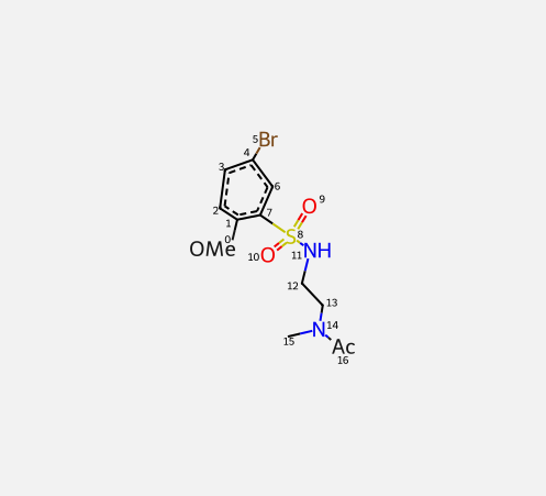 COc1ccc(Br)cc1S(=O)(=O)NCCN(C)C(C)=O